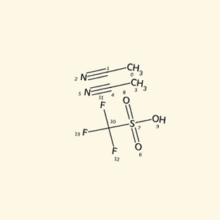 CC#N.CC#N.O=S(=O)(O)C(F)(F)F